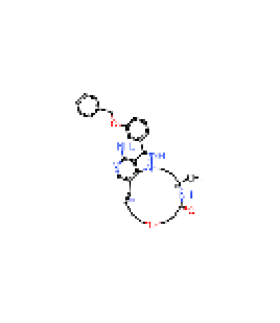 C[C@@H]1CCNc2c(cnc(N)c2C(=N)c2cccc(OCc3ccccc3)c2)/C=C/CCOCCC(=O)N1